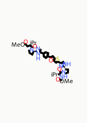 COC(=O)C[C@H](C(=O)N1CCC[C@H]1c1ncc(-c2ccc(-c3cc4sc(-c5c[nH]c([C@@H]6CCCN6C(=O)C(NC(=O)OC)C(C)C)n5)cc4o3)cc2)[nH]1)C(C)C